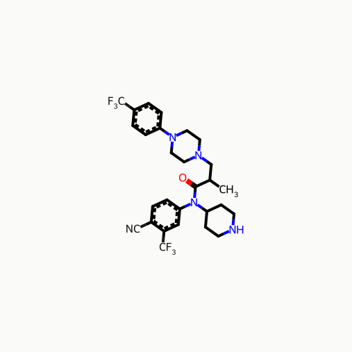 CC(CN1CCN(c2ccc(C(F)(F)F)cc2)CC1)C(=O)N(c1ccc(C#N)c(C(F)(F)F)c1)C1CCNCC1